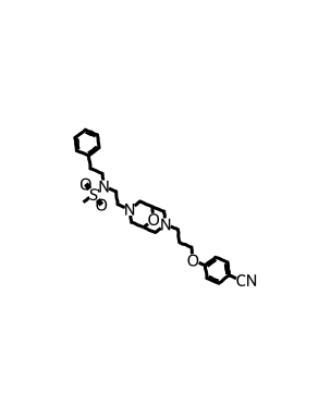 CS(=O)(=O)N(CCc1ccccc1)CCN1CC2CN(CCCOc3ccc(C#N)cc3)CC(C1)O2